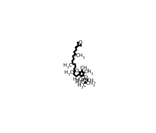 C/C(=C\CC/C(C)=C/CC[C@]1(C)CCc2c(C)c(O[Si](C)(C)C(C)(C)C)c(C)c(C)c2O1)CCC=C1COC1